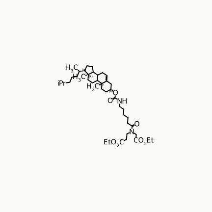 CCOC(=O)CCN(CC(=O)OCC)C(=O)CCCCCNC(=O)O[C@H]1CC[C@@]2(C)C(=CCC3C2CC[C@@]2(C)C3CC[C@@H]2C(C)CCCC(C)C)C1